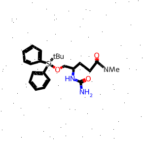 CNC(=O)CCC(CO[Si](c1ccccc1)(c1ccccc1)C(C)(C)C)NC(N)=O